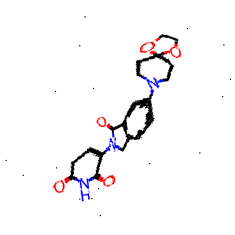 O=C1CCC(N2Cc3ccc(N4CCC5(CC4)OCCO5)cc3C2=O)C(=O)N1